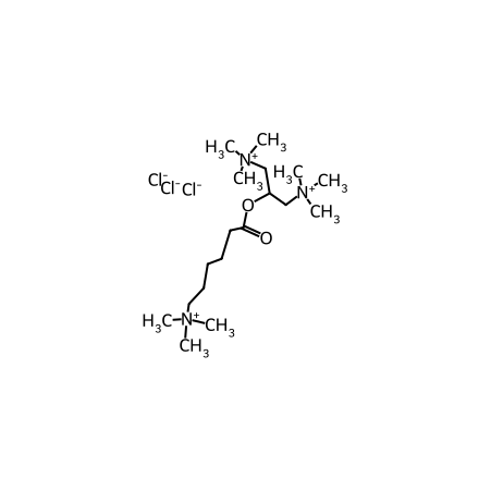 C[N+](C)(C)CCCCCC(=O)OC(C[N+](C)(C)C)C[N+](C)(C)C.[Cl-].[Cl-].[Cl-]